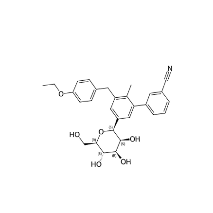 CCOc1ccc(Cc2cc([C@@H]3O[C@H](CO)[C@@H](O)[C@H](O)[C@@H]3O)cc(-c3cccc(C#N)c3)c2C)cc1